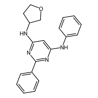 c1ccc(Nc2cc(NC3CCOC3)nc(-c3ccccc3)n2)cc1